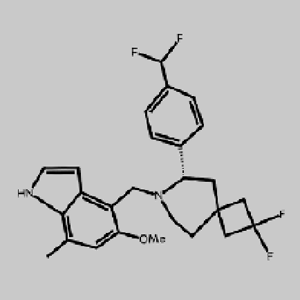 COc1cc(C)c2[nH]ccc2c1CN1CCC2(C[C@H]1c1ccc(C(F)F)cc1)CC(F)(F)C2